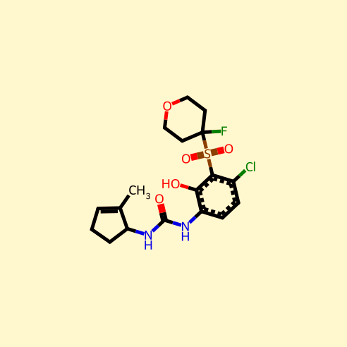 CC1=CCCC1NC(=O)Nc1ccc(Cl)c(S(=O)(=O)C2(F)CCOCC2)c1O